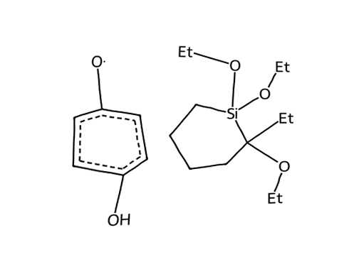 CCOC1(CC)CCCC[Si]1(OCC)OCC.[O]c1ccc(O)cc1